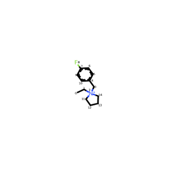 CC[N+]1(Cc2ccc(F)cc2)CCCC1